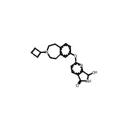 O=C1NC(O)c2nc(Oc3ccc4c(c3)CCN(C3CCC3)CC4)ccc21